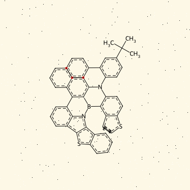 CC(C)(C)c1ccc(N2c3cc4ccccc4c4c3B(c3c2ccc2sc5ccccc5c32)n2c3c-4cccc3c3sc4ccccc4c32)c(-c2ccccc2)c1